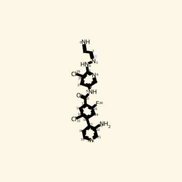 N=C/C=N\Nc1ncc(NC(=O)c2cc(Cl)c(-c3ccncc3N)cc2F)cc1Cl